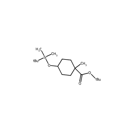 CC(C)(C)OC(=O)C1(C)CCC(O[Si](C)(C)C(C)(C)C)CC1